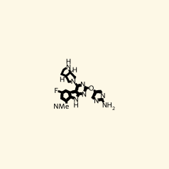 CNc1cc(F)cc2c1[nH]c1nc(Oc3cnc(N)nc3)nc(N3C[C@H]4CCN[C@H]4C3)c12